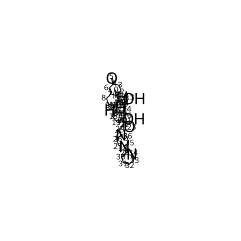 C[C@]12CCC(=O)C=C1CC[C@@H]1[C@@H]2[C@H](O)C[C@@]2(C)[C@H]1CC[C@]2(O)C(=O)CN1CCN(c2ccccn2)CC1